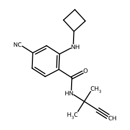 C#CC(C)(C)NC(=O)c1ccc(C#N)cc1NC1CCC1